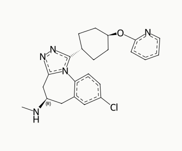 CN[C@@H]1Cc2cc(Cl)ccc2-n2c(nnc2[C@H]2CC[C@H](Oc3ccccn3)CC2)C1